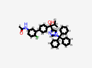 CC(=O)Nc1ccc(F)c(-c2ccc(C(O)(c3cn(C(c4ccccc4)(c4ccccc4)c4ccccc4)cn3)C(C)C)cc2)c1